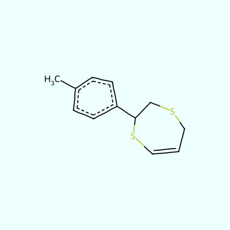 Cc1ccc(C2CSCC=CS2)cc1